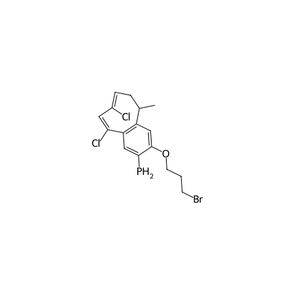 CC1C/C=C(Cl)/C=C(/Cl)c2cc(P)c(OCCCBr)cc21